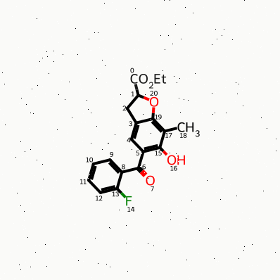 CCOC(=O)C1Cc2cc(C(=O)c3ccccc3F)c(O)c(C)c2O1